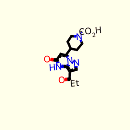 CCC(=O)c1cnn2c(C3CCN(C(=O)O)CC3)cc(=O)[nH]c12